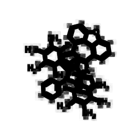 Bc1c(B)c(B)c(-c2nc(-c3c(B)c(B)c(B)c(B)c3B)nc(-c3cccc4oc5cccc(-c6ccc7c(c6)c6ccccc6n7-c6ccccc6)c5c34)n2)c(B)c1B